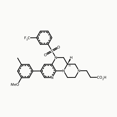 COc1cc(C)cc(-c2cnc3c(c2)N(S(=O)(=O)c2cccc(C(F)(F)F)c2)C[C@@H]2CN(CCC(=O)O)CCN32)c1